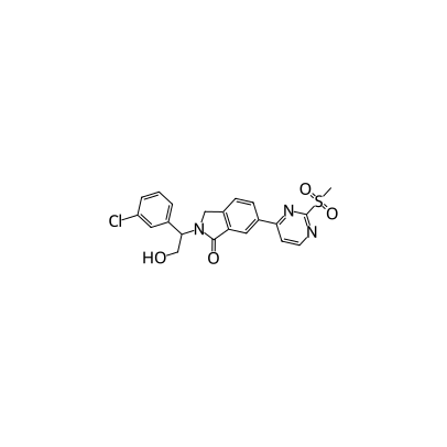 CS(=O)(=O)c1nccc(-c2ccc3c(c2)C(=O)N(C(CO)c2cccc(Cl)c2)C3)n1